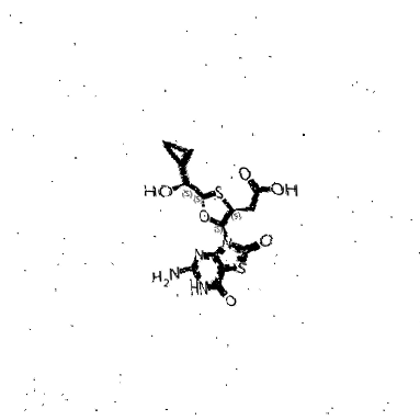 Nc1nc2c(sc(=O)n2[C@H]2O[C@H]([C@@H](O)C3CC3)S[C@H]2CC(=O)O)c(=O)[nH]1